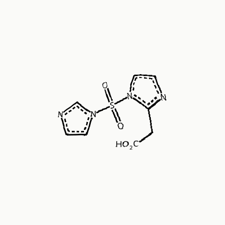 O=C(O)Cc1nccn1S(=O)(=O)n1ccnc1